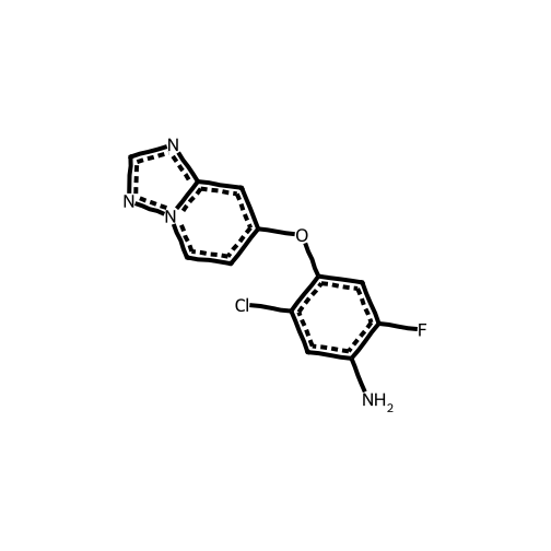 Nc1cc(Cl)c(Oc2ccn3ncnc3c2)cc1F